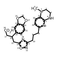 CN1CCNc2nc(CCCc3noc(CC(CC(=O)O)c4ccc5c(c4)OCO5)n3)ccc21